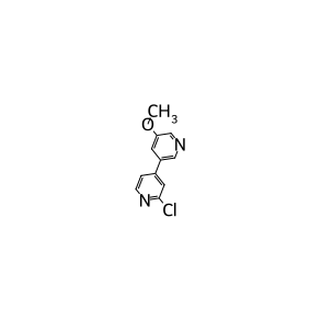 COc1cncc(-c2ccnc(Cl)c2)c1